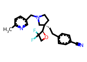 Cc1ccc(CN2CC[C@@](CCc3ccc(C#N)cc3)([C@H]3OCC3(F)F)C2)cn1